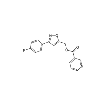 O=C(OCc1cc(-c2ccc(F)cc2)no1)c1cccnc1